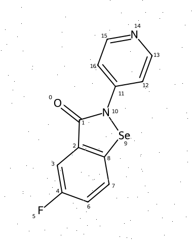 O=c1c2cc(F)ccc2[se]n1-c1ccncc1